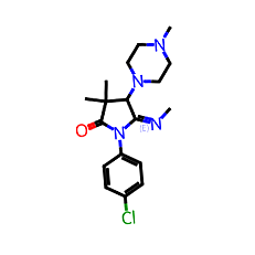 C/N=C1\C(N2CCN(C)CC2)C(C)(C)C(=O)N1c1ccc(Cl)cc1